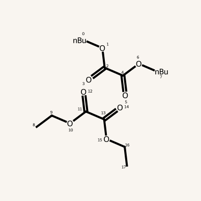 CCCCOC(=O)C(=O)OCCCC.CCOC(=O)C(=O)OCC